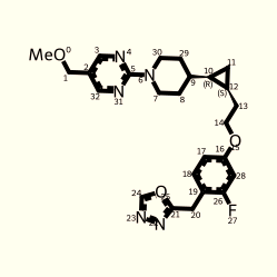 COCc1cnc(N2CCC([C@H]3C[C@H]3CCOc3ccc(Cc4nnco4)c(F)c3)CC2)nc1